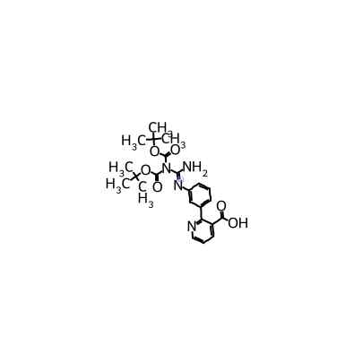 CC(C)(C)OC(=O)N(C(=O)OC(C)(C)C)/C(N)=N/c1cccc(-c2ncccc2C(=O)O)c1